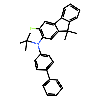 CC1(C)c2ccccc2-c2cc(F)c(N(c3ccc(-c4ccccc4)cc3)C(C)(C)C)cc21